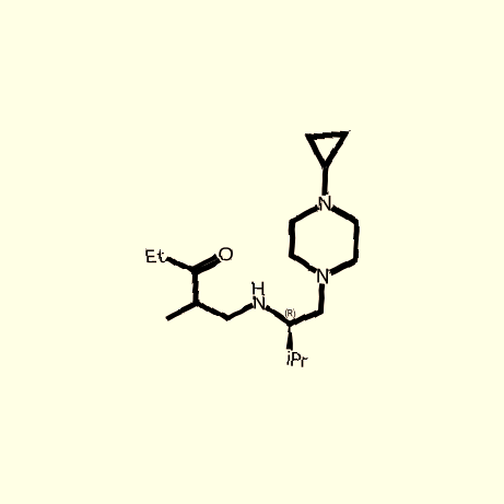 CCC(=O)C(C)CN[C@@H](CN1CCN(C2CC2)CC1)C(C)C